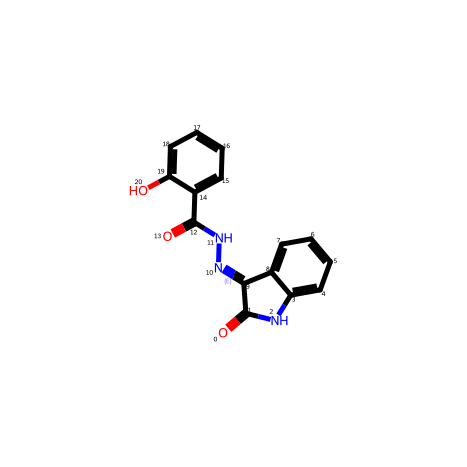 O=C1Nc2ccccc2/C1=N\NC(=O)c1ccccc1O